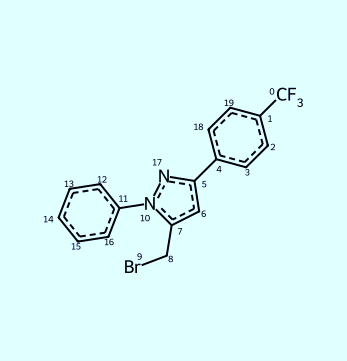 FC(F)(F)c1ccc(-c2cc(CBr)n(-c3ccccc3)n2)cc1